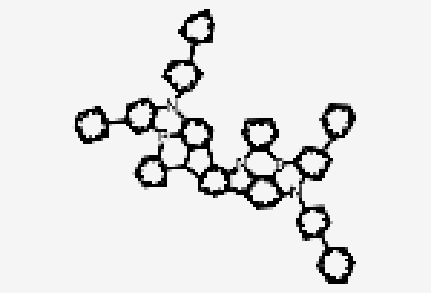 c1ccc(-c2ccc(N3c4ccc(-c5ccccc5)cc4B4c5ccccc5C5c6ccc7c8ccc9c%10c8n(c7c6-c6ccc3c4c65)-c3ccccc3B%10c3cc(-c4ccccc4)ccc3N9c3ccc(-c4ccccc4)cc3)cc2)cc1